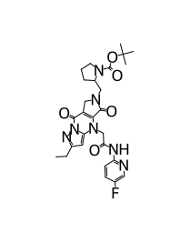 CCc1cc2n(CC(=O)Nc3ccc(F)cn3)c3c(c(=O)n2n1)CN(CC1CCCN1C(=O)OC(C)(C)C)C3=O